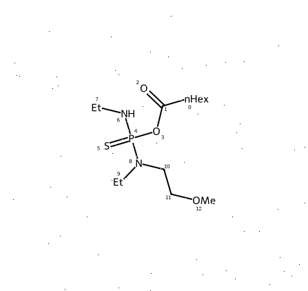 CCCCCCC(=O)OP(=S)(NCC)N(CC)CCOC